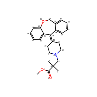 COC(=O)C(C)(C)CN1CCC(=C2c3ccccc3COc3ccccc32)CC1